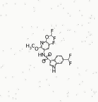 COc1nc(OC(F)F)c(F)cc1NS(=O)(=O)c1c[nH]c2cc(C(F)F)ccc12